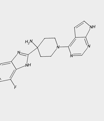 NC1(c2nc3cccc(F)c3[nH]2)CCN(c2ncnc3[nH]ccc23)CC1